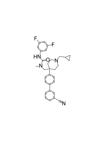 CN(CC1(c2ccc(-c3cccc(C#N)c3)cc2)CCN(CC2CC2)CC1)C(=O)Nc1cc(F)cc(F)c1